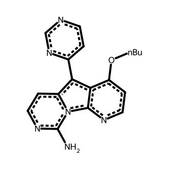 CCCCOc1ccnc2c1c(-c1ccncn1)c1ccnc(N)n12